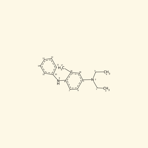 CCN(CC)c1ccc(Nc2ccccc2)c(C)c1